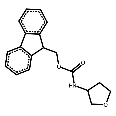 O=C(NC1CCOC1)OCC1c2ccccc2-c2ccccc21